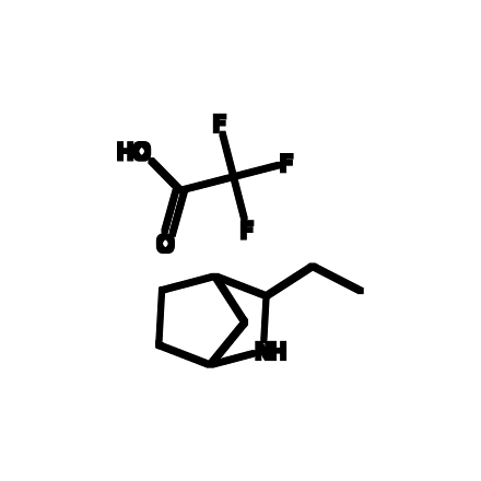 CCC1NC2CCC1C2.O=C(O)C(F)(F)F